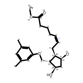 Cc1cc(C)cc(OC[C@@H]2[C@@H](C/C=C\CCCC(=O)OC(C)C)[C@@H](Cl)C[C@H]2O)c1